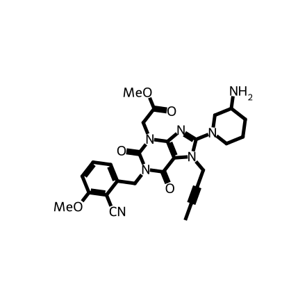 CC#CCn1c(N2CCCC(N)C2)nc2c1c(=O)n(Cc1cccc(OC)c1C#N)c(=O)n2CC(=O)OC